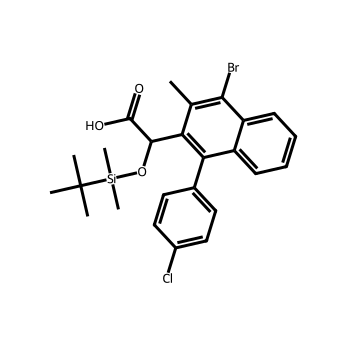 Cc1c(C(O[Si](C)(C)C(C)(C)C)C(=O)O)c(-c2ccc(Cl)cc2)c2ccccc2c1Br